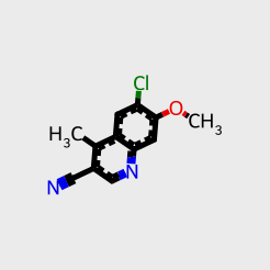 COc1cc2ncc(C#N)c(C)c2cc1Cl